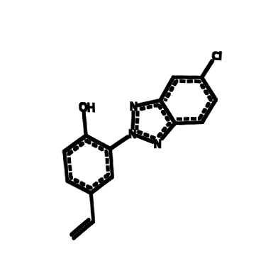 C=Cc1ccc(O)c(-n2nc3ccc(Cl)cc3n2)c1